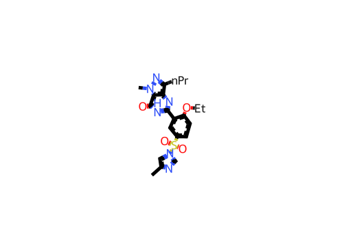 CCCc1nn(C)c2c(=O)[nH]c(-c3cc(S(=O)(=O)n4cnc(C)c4)ccc3OCC)nc12